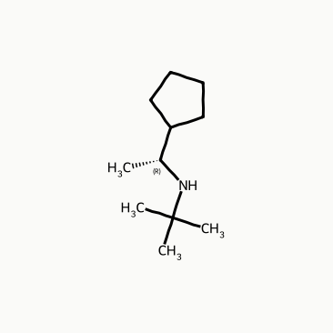 C[C@@H](NC(C)(C)C)C1CCCC1